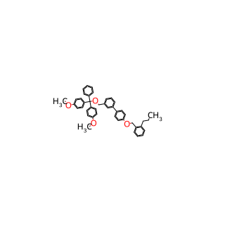 CCCc1ccccc1COc1ccc(-c2cccc(COC(c3ccccc3)(c3ccc(OC)cc3)c3ccc(OC)cc3)c2)cc1